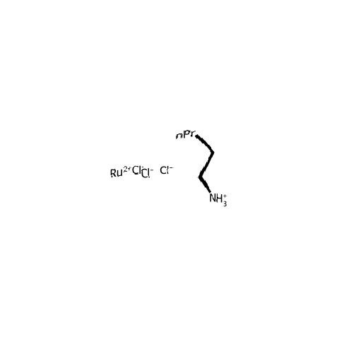 CCCCC[NH3+].[Cl-].[Cl-].[Cl-].[Ru+2]